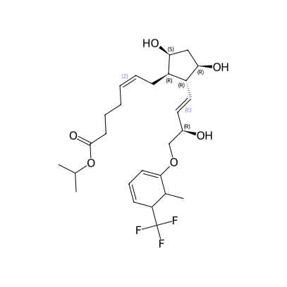 CC(C)OC(=O)CCC/C=C\C[C@@H]1[C@@H](/C=C/[C@@H](O)COC2=CC=CC(C(F)(F)F)C2C)[C@H](O)C[C@@H]1O